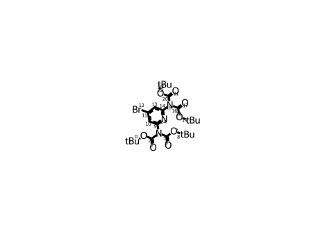 CC(C)(C)OC(=O)N(C(=O)OC(C)(C)C)c1cc(Br)cc(N(C(=O)OC(C)(C)C)C(=O)OC(C)(C)C)n1